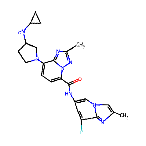 Cc1cn2cc(NC(=O)c3ccc(N4CCC(NC5CC5)C4)c4nc(C)nn34)cc(F)c2n1